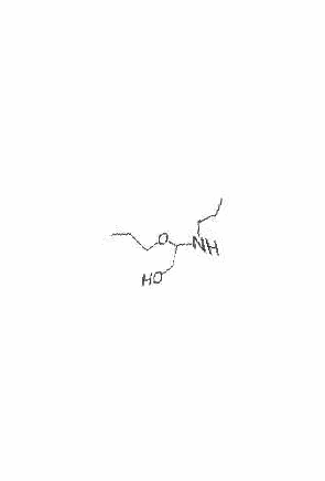 CCCNC(CO)OCCC